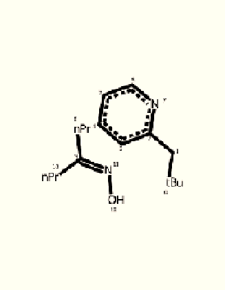 CC(C)(C)Cc1ccccn1.CCCC(CCC)=NO